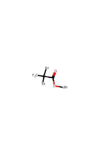 CCCOC(=O)C(CC)(CC)C(F)(F)F